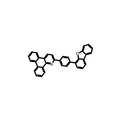 c1ccc2c(c1)oc1c(-c3ccc(-c4ccc5c6ccccc6c6ccccc6c5n4)cc3)cccc12